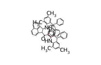 Cc1cc(C)c(NC2c3cccc4cccc(c34)C2C(=O)C2c3cccc4cccc(c34)C2Nc2c(C)cc(C)cc2C(c2ccccc2)c2ccccc2)c(C(c2ccccc2)c2ccccc2)c1